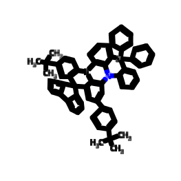 CC(C)(C)c1ccc(-c2cc3c4c(c2)C2(c5cc(C(C)(C)C)ccc5B4c4cccc5c4N3c3ccccc3[Si]5(c3ccccc3)c3ccccc3)c3ccccc3-c3ccccc32)cc1